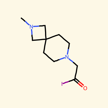 CN1CC2(CCN(CC(=O)I)CC2)C1